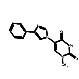 Cn1cc(-n2cc(-c3ccccc3)nn2)c(=O)[nH]c1=O